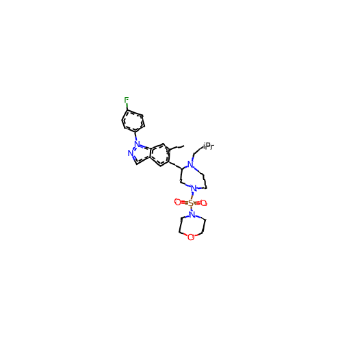 Cc1cc2c(cnn2-c2ccc(F)cc2)cc1C1CN(S(=O)(=O)N2CCOCC2)CCN1CC(C)C